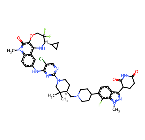 Cn1nc(C2CCC(=O)NC2=O)c2ccc(C3CCN(C[C@@H]4CCN(c5ncc(Cl)c(Nc6ccc7c(c6)c6c(c(=O)n7C)OCC(F)(F)[C@H](C7CC7)N6)n5)CC4(C)C)CC3)c(F)c21